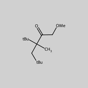 COCC(=O)C(C)(CC(C)(C)C)C(C)(C)C